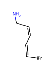 CC(C)/C=C\C=C/CN